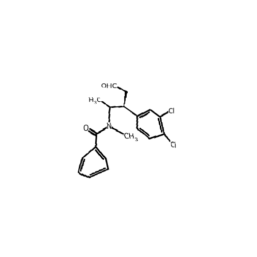 CC([C@@H](CC=O)c1ccc(Cl)c(Cl)c1)N(C)C(=O)c1ccccc1